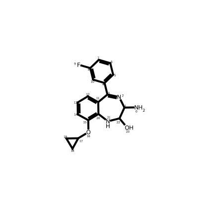 NC1N=C(c2cccc(F)c2)c2cccc(OC3CC3)c2NC1O